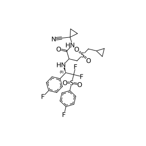 N#CC1(NC(=O)C(CS(=O)(=O)CC2CC2)N[C@H](c2ccc(F)cc2)C(F)(F)S(=O)(=O)c2ccc(F)cc2)CC1